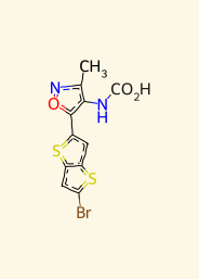 Cc1noc(-c2cc3sc(Br)cc3s2)c1NC(=O)O